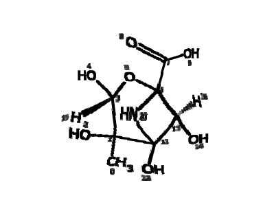 CC1(O)[C@H](O)OC2(C(=O)O)NC1(O)[C@@H]2O